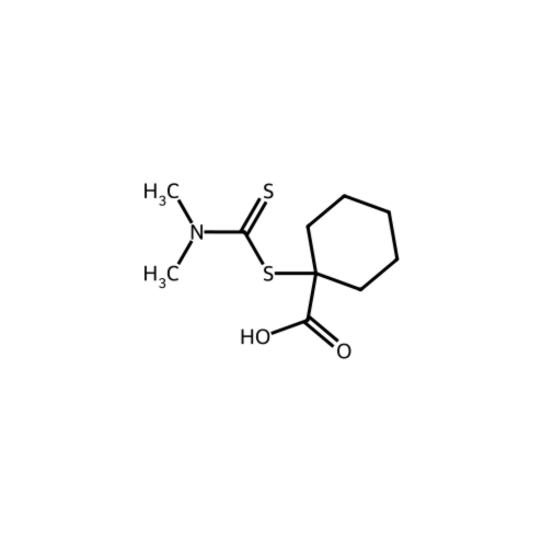 CN(C)C(=S)SC1(C(=O)O)CCCCC1